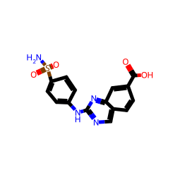 NS(=O)(=O)c1ccc(Nc2ncc3ccc(C(=O)O)cc3n2)cc1